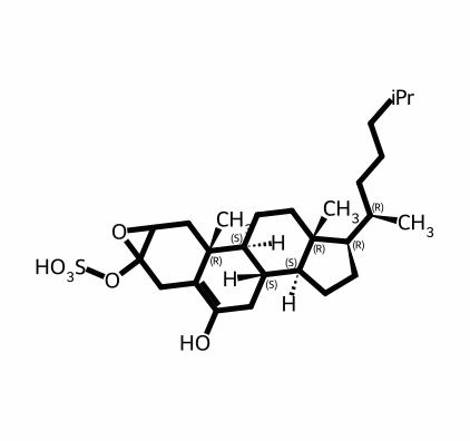 CC(C)CCC[C@@H](C)[C@H]1CC[C@H]2[C@@H]3CC(O)=C4CC5(OS(=O)(=O)O)OC5C[C@]4(C)[C@H]3CC[C@]12C